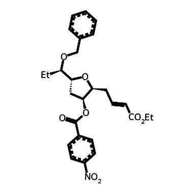 CCOC(=O)/C=C/C[C@@H]1O[C@@H]([C@@H](CC)OCc2ccccc2)C[C@@H]1OC(=O)c1ccc([N+](=O)[O-])cc1